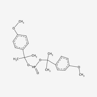 COc1ccc(C(C)(C)O[PH](=O)OC(C)(C)c2ccc(OC)cc2)cc1